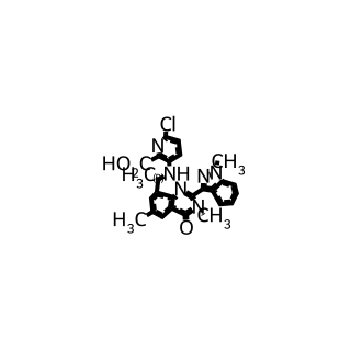 Cc1cc([C@@H](C)Nc2ccc(Cl)nc2C(=O)O)c2nc(-c3nn(C)c4ccccc34)n(C)c(=O)c2c1